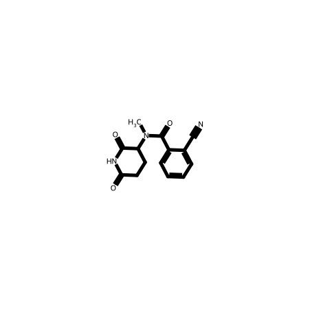 CN(C(=O)c1ccccc1C#N)C1CCC(=O)NC1=O